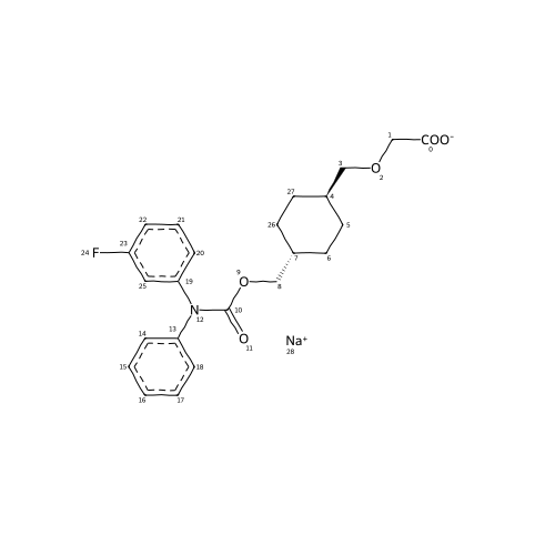 O=C([O-])COC[C@H]1CC[C@H](COC(=O)N(c2ccccc2)c2cccc(F)c2)CC1.[Na+]